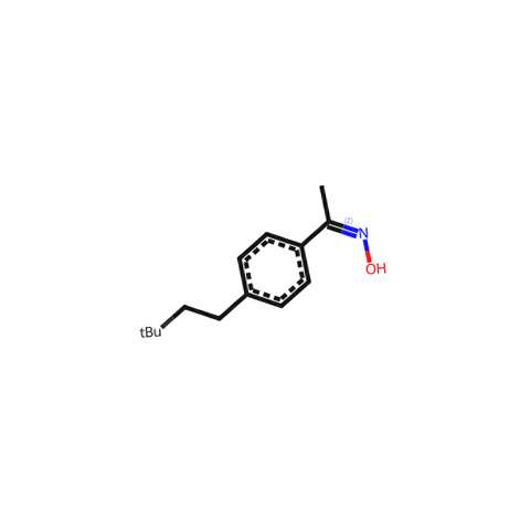 C/C(=N/O)c1ccc(CCC(C)(C)C)cc1